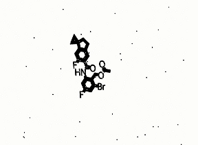 CC(=O)OCc1c(Br)cc(F)cc1NC(=O)c1cc2c(cc1F)C1(CC2)CC1